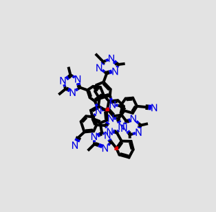 Cc1nc(C)nc(-c2ccc3c4ccc(-c5nc(C)nc(C)n5)cc4n(-c4ccc(C#N)cc4-c4nc(-c5ccccc5)nc(-c5cc(C#N)ccc5-n5c6cc(-c7nc(C)nc(C)n7)ccc6c6ccc(-c7nc(C)nc(C)n7)cc65)n4)c3c2)n1